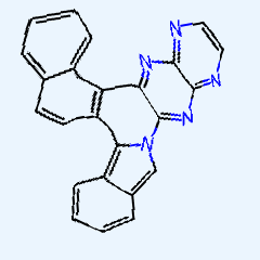 c1ccc2c(c1)ccc1c2c2nc3nccnc3nc2n2cc3ccccc3c12